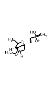 BC1O[C@@]2(/C=C/P(=C)(O)O)CO[C@@H]1[C@H](OC)C2